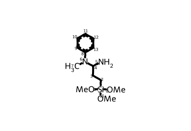 CO[Si](CCC(N)N(C)c1ccccc1)(OC)OC